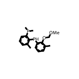 COCOc1c(C)cccc1Pc1c(C)cccc1P(C)C